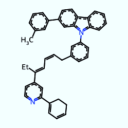 CC/C(=C\C=C/Cc1cccc(-n2c3ccccc3c3ccc(-c4cccc(C)c4)cc32)c1)c1ccnc(C2=CC=CCC2)c1